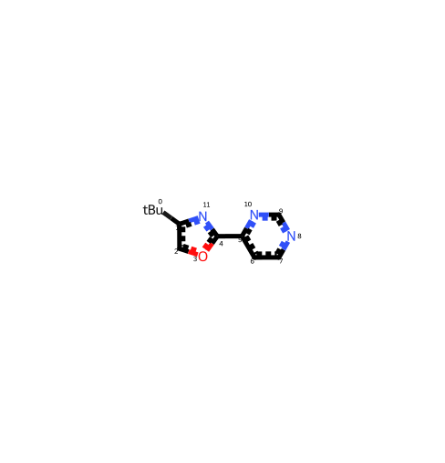 CC(C)(C)c1coc(-c2ccncn2)n1